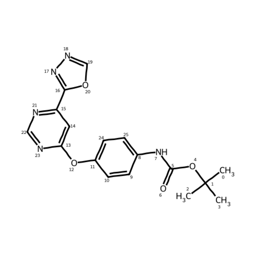 CC(C)(C)OC(=O)Nc1ccc(Oc2cc(-c3nnco3)ncn2)cc1